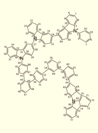 c1ccc(-n2c3ccccc3c3cc(-c4ccc5c(c4)c4ccccc4n5-c4ccc5c(c4)c4ccccc4n5-c4ccc(-c5ccccc5-c5ccc(-c6cccc(-c7cccc(-c8ccc9c(c8)c8cccc%10c%11ccccc%11n9c%108)c7)c6)cc5)cc4)ccc32)cc1